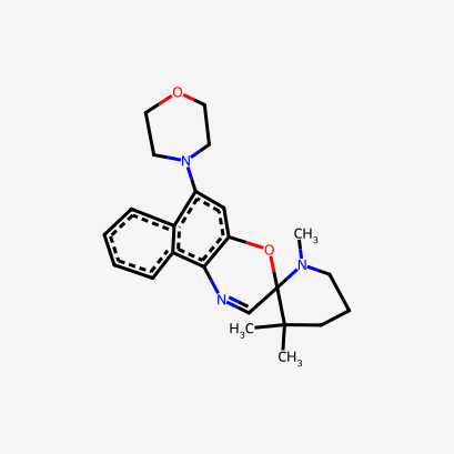 CN1CCCC(C)(C)C12C=Nc1c(cc(N3CCOCC3)c3ccccc13)O2